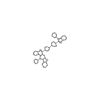 c1ccc(-c2c3c(cc4c(-c5ccc(-c6ccc(-c7nc8ccccc8n7-c7ccccc7)cc6)cc5)nc5ccccc5c24)oc2ccccc23)cc1